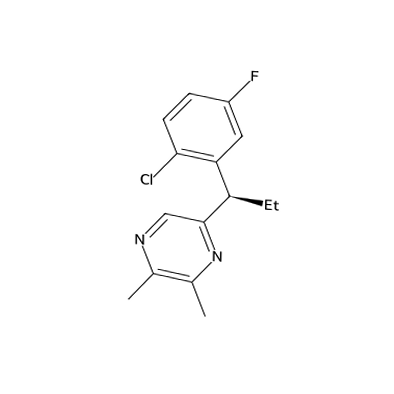 CC[C@@H](c1cnc(C)c(C)n1)c1cc(F)ccc1Cl